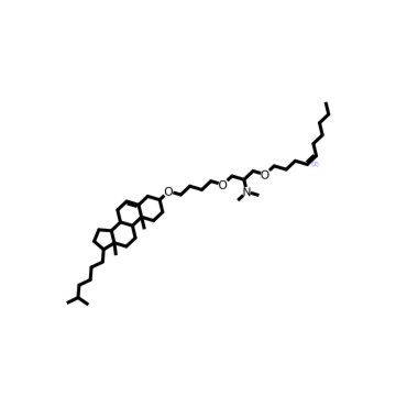 CCCCC/C=C\CCCOCC(COCCCCOC1CCC2(C)C(=CCC3C2CCC2(C)C(CCCCC(C)C)CCC32)C1)N(C)C